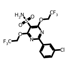 NS(=O)(=O)c1c(OCC(F)(F)F)nc(-c2cccc(Cl)c2)nc1OCC(F)(F)F